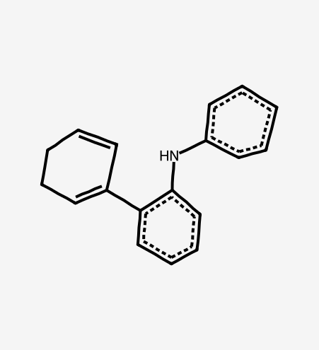 C1=CC(c2ccccc2Nc2ccccc2)=CCC1